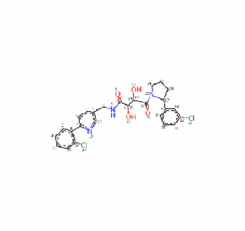 O=C(NCc1ccc(-c2ccccc2Cl)nc1)[C@H](O)[C@@H](O)C(=O)N1CCCC1c1cccc(Cl)c1